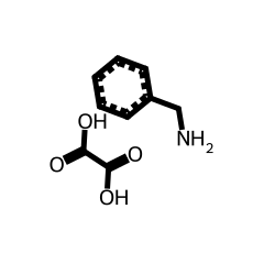 NCc1ccccc1.O=C(O)C(=O)O